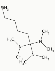 CN(C)C(CCCC[SiH3])(N(C)C)N(C)C